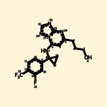 OCCCc1cc(NC2(c3ccc(C(F)(F)F)c(F)c3)CC2)n2ncnc2n1